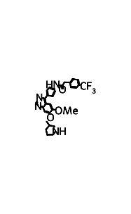 COc1cc2c(-c3ccc(NC(=O)Cc4ccc(C(F)(F)F)cc4)cc3)ncnc2cc1OCC1CCCNC1